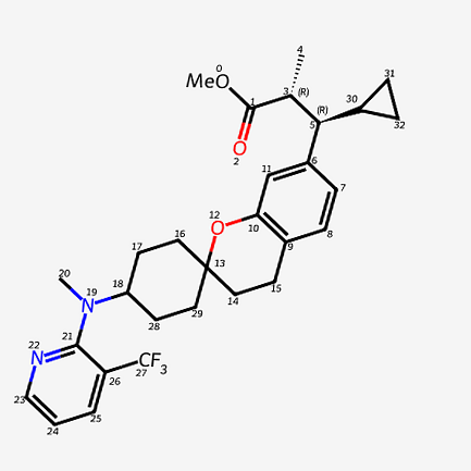 COC(=O)[C@H](C)[C@H](c1ccc2c(c1)OC1(CC2)CCC(N(C)c2ncccc2C(F)(F)F)CC1)C1CC1